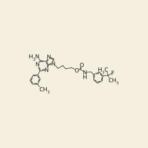 Cc1cccc(-c2nc(N)c3ncn(CCCCOC(=O)NCc4cccc(C(C)(C)F)c4)c3n2)c1